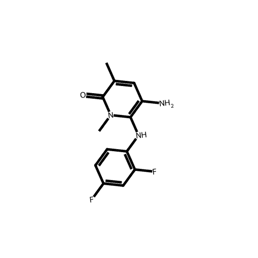 Cc1cc(N)c(Nc2ccc(F)cc2F)n(C)c1=O